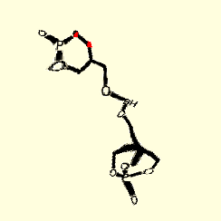 O=P12OCC(COBOCC34COP(=O)(OC3)OC4)(CO1)CO2